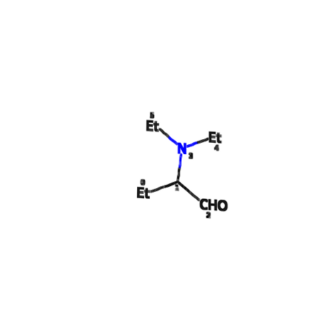 CCC(C=O)N(CC)CC